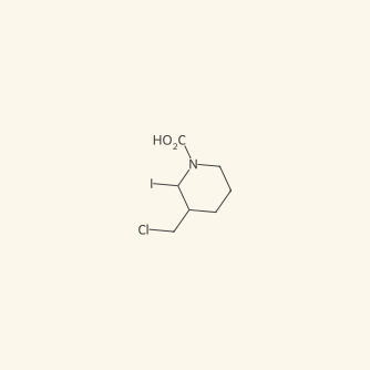 O=C(O)N1CCCC(CCl)C1I